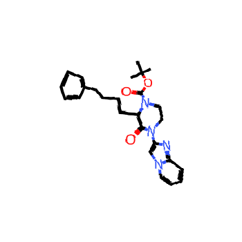 CC(C)(C)OC(=O)N1CCN(c2cn3ccccc3n2)C(=O)C1CCCCc1ccccc1